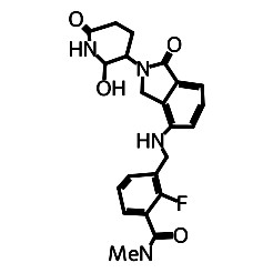 CNC(=O)c1cccc(CNc2cccc3c2CN(C2CCC(=O)NC2O)C3=O)c1F